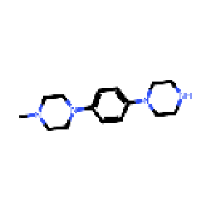 CN1CCN(c2ccc(N3CCNCC3)cc2)CC1